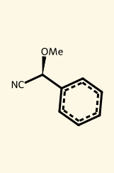 CO[C@H](C#N)c1ccccc1